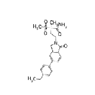 CCc1ccc(-c2ccc3c(c2)CN(CC[C@](C)(C(N)=O)S(C)(=O)=O)C3=O)cc1